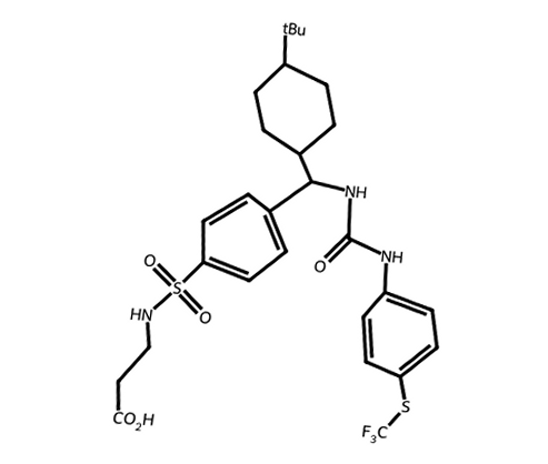 CC(C)(C)C1CCC(C(NC(=O)Nc2ccc(SC(F)(F)F)cc2)c2ccc(S(=O)(=O)NCCC(=O)O)cc2)CC1